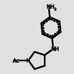 CC(=O)N1CCC(Nc2ccc(N)cc2)C1